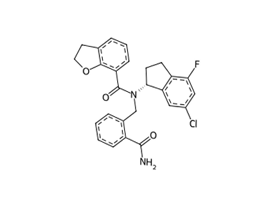 NC(=O)c1ccccc1CN(C(=O)c1cccc2c1OCC2)[C@@H]1CCc2c(F)cc(Cl)cc21